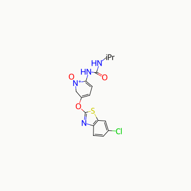 CC(C)NC(=O)NC1=CC=C(Oc2nc3ccc(Cl)cc3s2)C[N+]1=O